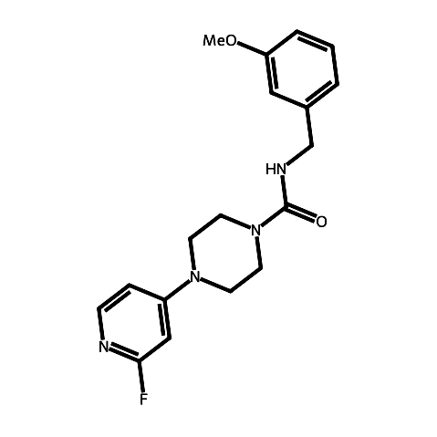 COc1cccc(CNC(=O)N2CCN(c3ccnc(F)c3)CC2)c1